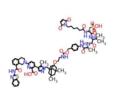 Cc1c(-c2ccc(N3CCc4cccc(C(=O)Nc5nc6ccccc6s5)c4C3)nc2C(=O)O)cnn1CC12CC3(C)CC(C)(C1)CC(OCCNC(=O)OCc1ccc(NC(=O)[C@H](C)NC(=O)C(NC(=O)[C@H](CS(=O)(=O)O)NC(=O)CCCCCN4C(=O)C=CC4=O)C(C)C)cc1)(C3)C2